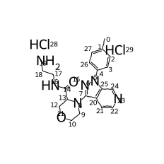 Cc1ccc(-n2nc(N3CCOCC3C(=O)NCCN)c3ccncc32)cc1.Cl.Cl